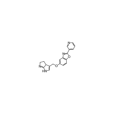 C1=C(COc2ccc3oc(-c4cccnc4)nc3c2)C2CCN=C2N1